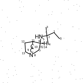 CCC(C)(C)N[C@@H]1CN2CCC1CC2